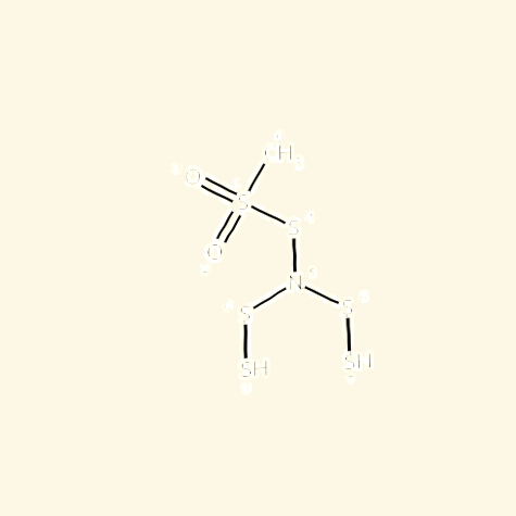 CS(=O)(=O)SN(SS)SS